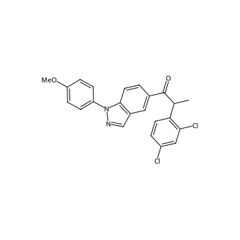 COc1ccc(-n2ncc3cc(C(=O)C(C)c4ccc(Cl)cc4Cl)ccc32)cc1